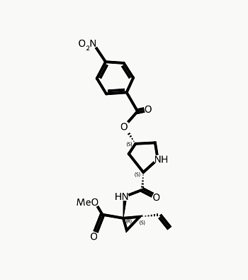 C=C[C@@H]1C[C@]1(NC(=O)[C@@H]1C[C@H](OC(=O)c2ccc([N+](=O)[O-])cc2)CN1)C(=O)OC